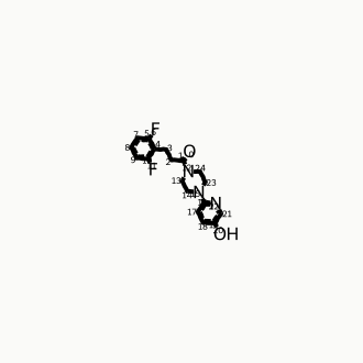 O=C(CCc1c(F)cccc1F)N1CCN(c2ccc(O)cn2)CC1